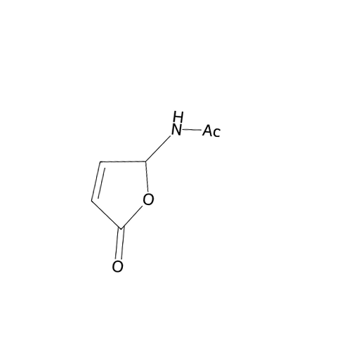 CC(=O)NC1C=CC(=O)O1